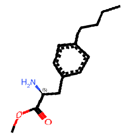 CCCCc1ccc(C[C@H](N)C(=O)OC)cc1